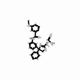 COc1cccc(C(=O)Nc2cccc(C3(c4ccccc4)COC(N)=N3)c2)c1.O=CO